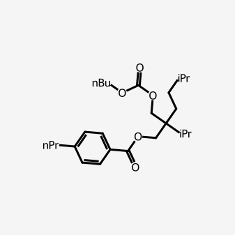 CCCCOC(=O)OCC(CCC(C)C)(COC(=O)c1ccc(CCC)cc1)C(C)C